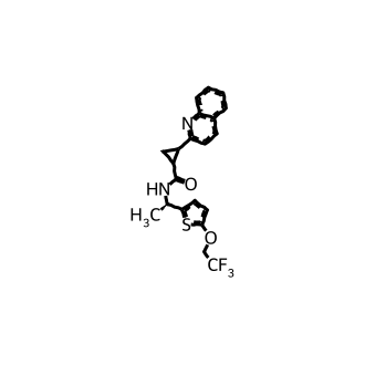 C[C@@H](NC(=O)C1CC1c1ccc2ccccc2n1)c1ccc(OCC(F)(F)F)s1